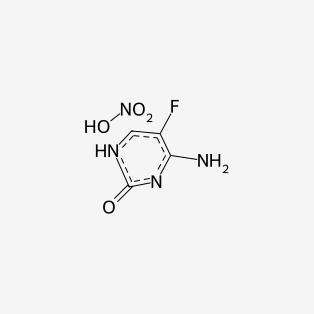 Nc1nc(=O)[nH]cc1F.O=[N+]([O-])O